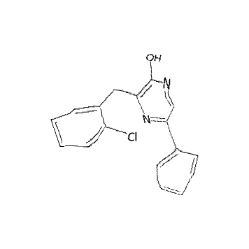 Oc1ncc(-c2ccccc2)nc1Cc1ccccc1Cl